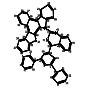 c1ccc(-c2cc(-c3ccccc3)cc(-c3nc(-n4c5ccccc5c5c6ccccc6c6c7ccccc7sc6c54)nc4ccccc34)c2)cc1